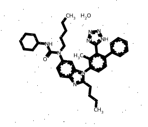 CCCCCN(C(=O)NC1CCCCC1)c1ccc2nc(CCCC)n(-c3ccc(-c4ccccc4)c(-c4nnn[nH]4)c3C)c2c1.O